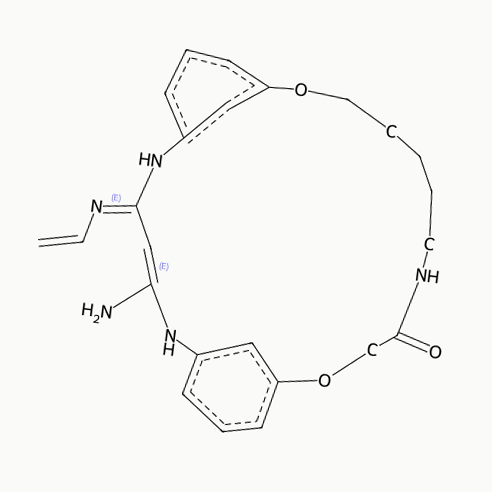 C=C/N=C1\C=C(/N)Nc2cccc(c2)OCC(=O)NCCCCCOc2cccc(c2)N1